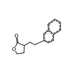 O=C1OCCC1CCc1ccc2ccccc2c1